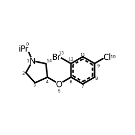 CC(C)N1CCC(Oc2ccc(Cl)cc2Br)C1